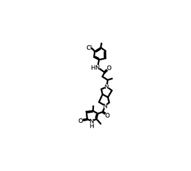 Cc1ccc(NC(=O)CC(C)N2CC3CN(C(=O)c4c(C)cc(=O)[nH]c4C)CC3C2)cc1Cl